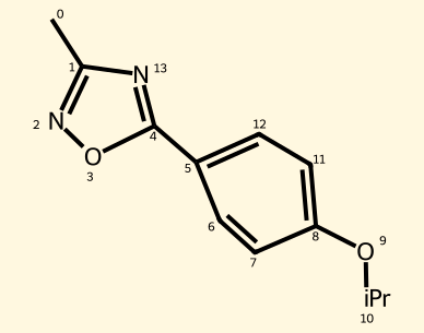 Cc1noc(-c2ccc(OC(C)C)cc2)n1